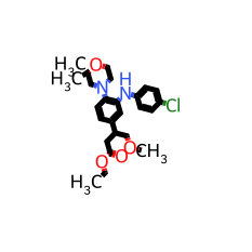 CCOC(=O)CC(COC)c1ccc(N2CCOC(C)(C)C2)c(Nc2ccc(Cl)cc2)c1